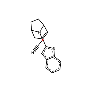 N#CCN1C2C=C(c3cc4ccccc4s3)CC1CC2